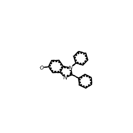 [O]c1ccc2c(c1)nc(-c1ccccc1)n2-c1ccccc1